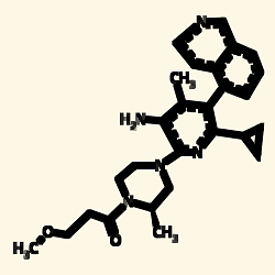 COCCC(=O)N1CCN(c2nc(C3CC3)c(-c3cccc4cnccc34)c(C)c2N)C[C@H]1C